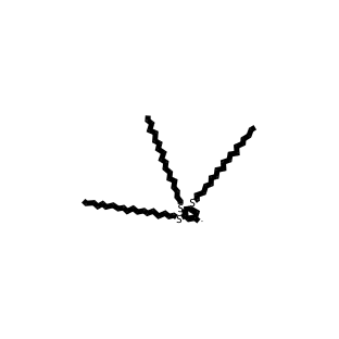 [CH2]c1cc(SCCCCCCCCCCCCCCCCCCC)c(SCCCCCCCCCCCCCCCCCCC)c(SCCCCCCCCCCCCCCCCCCC)c1